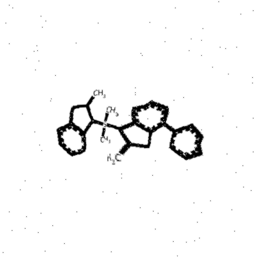 CC1Cc2ccccc2C1S(C)(C)C1c2cccc(-c3ccccc3)c2CC1C